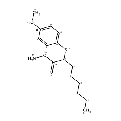 CCCCCCC(Sc1ccc(OC)cc1)C(=O)ON